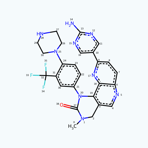 CN1Cc2cnc3ccc(-c4cnc(N)nc4)nc3c2N(c2ccc(N3CCNCC3)c(C(F)(F)F)c2)C1=O